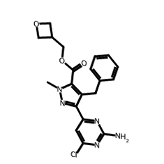 Cn1nc(-c2cc(Cl)nc(N)n2)c(Cc2ccccc2)c1C(=O)OCC1COC1